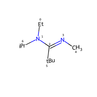 CCN(C(=NC)C(C)(C)C)C(C)C